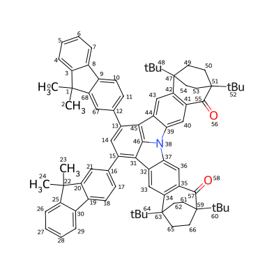 CC1(C)c2ccccc2-c2ccc(-c3cc(-c4ccc5c(c4)C(C)(C)c4ccccc4-5)c4c5cc6c(cc5n5c7cc8c(cc7c3c45)C3(C(C)(C)C)CCC(C(C)(C)C)(CC3)C8=O)C(=O)C3(C(C)(C)C)CCC6(C(C)(C)C)CC3)cc21